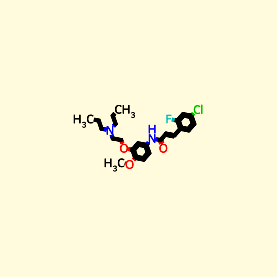 CCCN(CCC)CCOc1cc(NC(=O)C=Cc2ccc(Cl)cc2F)ccc1OC